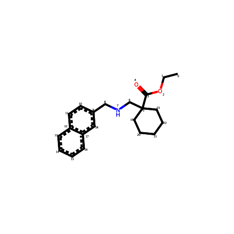 CCOC(=O)C1(CNCc2ccc3ccccc3c2)CCCCC1